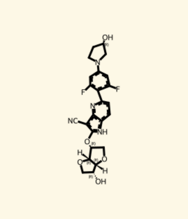 N#Cc1c(O[C@@H]2CO[C@H]3[C@@H]2OC[C@H]3O)[nH]c2ccc(-c3c(F)cc(N4CC[C@@H](O)C4)cc3F)nc12